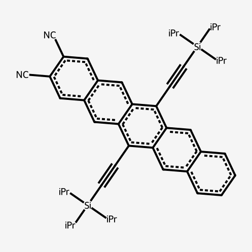 CC(C)[Si](C#Cc1c2cc3ccccc3cc2c(C#C[Si](C(C)C)(C(C)C)C(C)C)c2cc3cc(C#N)c(C#N)cc3cc12)(C(C)C)C(C)C